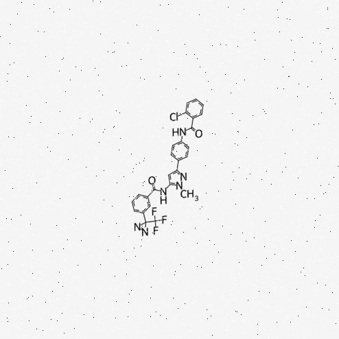 Cn1nc(-c2ccc(NC(=O)c3ccccc3Cl)cc2)cc1NC(=O)c1cccc(C2(C(F)(F)F)N=N2)c1